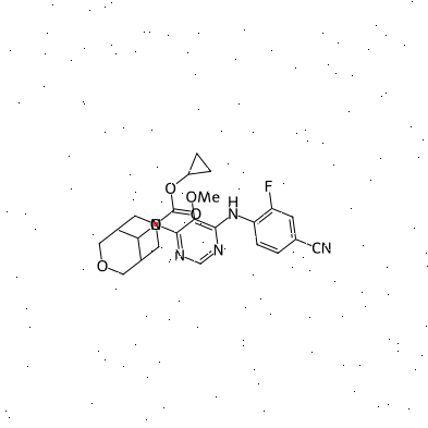 COc1c(Nc2ccc(C#N)cc2F)ncnc1OC1C2COCC1CN(C(=O)OC1CC1)C2